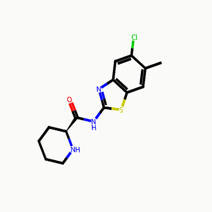 Cc1cc2sc(NC(=O)[C@@H]3CCCCN3)nc2cc1Cl